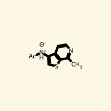 CC(=O)[NH+]([O-])c1csc2c(C)nccc12